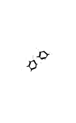 Cc1c(F)c(Nc2c([N+](=O)[O-])cc([N+](=O)[O-])cc2C(F)(F)F)c(Cl)c(Cl)c1Cl